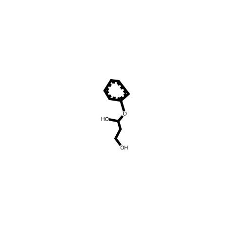 OCCC(O)Oc1ccccc1